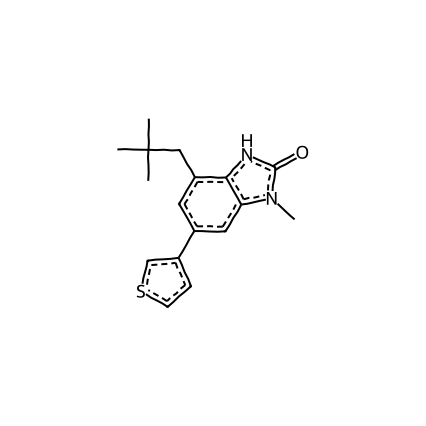 Cn1c(=O)[nH]c2c(CC(C)(C)C)cc(-c3ccsc3)cc21